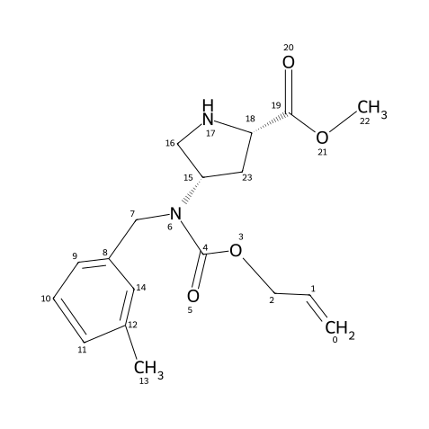 C=CCOC(=O)N(Cc1cccc(C)c1)[C@@H]1CN[C@H](C(=O)OC)C1